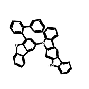 c1ccc(-c2ccccc2-c2cc(-n3c4ccccc4c4cc5c(cc43)[nH]c3ccccc35)cc3c2oc2ccccc23)cc1